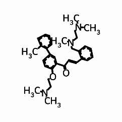 Cc1ccccc1-c1ccc(OCCN(C)C)c(C(=O)C=Cc2ccccc2CN(C)CCN(C)C)c1